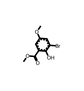 COC(=O)c1cc(OC)cc(Br)c1O